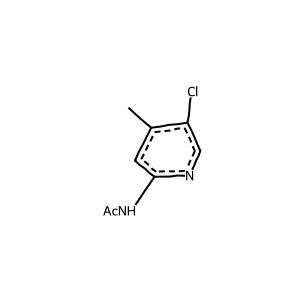 CC(=O)Nc1cc(C)c(Cl)cn1